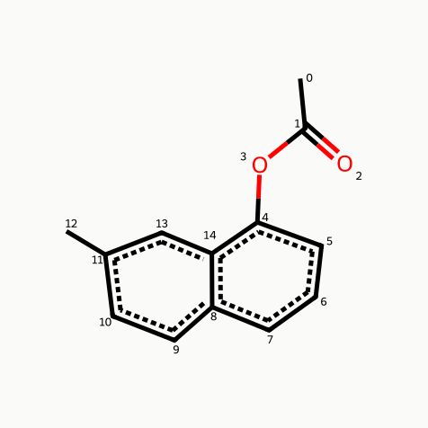 CC(=O)Oc1cccc2ccc(C)cc12